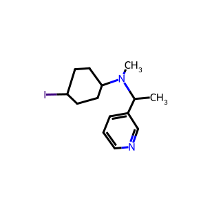 CC(c1cccnc1)N(C)C1CCC(I)CC1